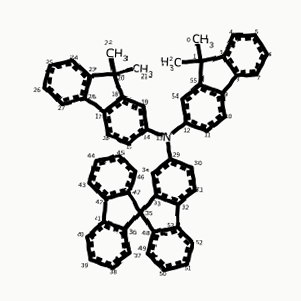 CC1(C)c2ccccc2-c2ccc(N(c3ccc4c(c3)C(C)(C)c3ccccc3-4)c3ccc4c(c3)C3(c5ccccc5-c5ccccc53)c3ccccc3-4)cc21